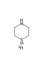 [2H][SH]1CCNCC1